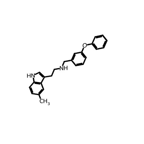 Cc1ccc2[nH]cc(CCNCc3cccc(Oc4ccccc4)c3)c2c1